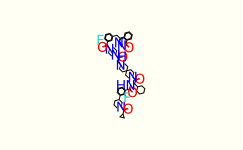 O=C(N[C@@H](C(=O)N1CCC2(CCN(CC(=O)N3CCN(C(=O)c4cc(Cc5n[nH]c(=O)c6ccccc56)ccc4F)CC3)CC2)CC1)C1CCCCC1)c1cccc(C2CCCN(C(=O)C3CC3)C2)c1F